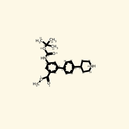 COC(=O)c1cc(NC(=O)OC(C)(C)C)cc(-c2ccc(C3CCNCC3)cc2)c1